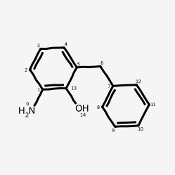 Nc1cccc(Cc2ccccc2)c1O